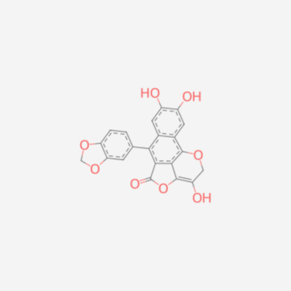 O=C1OC2=C(O)COc3c2c1c(-c1ccc2c(c1)OCO2)c1cc(O)c(O)cc31